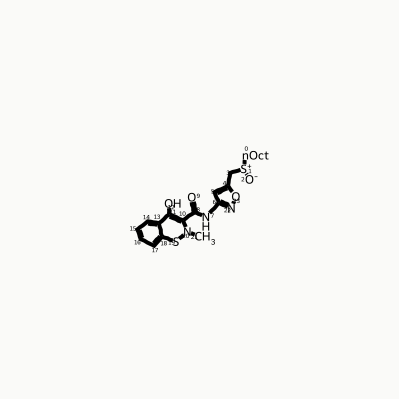 CCCCCCCC[S+]([O-])Cc1cc(NC(=O)C2=C(O)c3ccccc3SN2C)no1